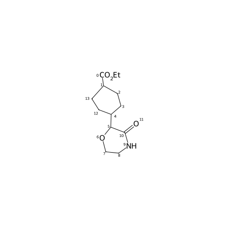 CCOC(=O)C1CCC(C2OCCNC2=O)CC1